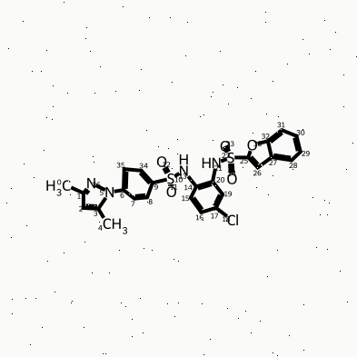 Cc1cc(C)n(-c2ccc(S(=O)(=O)Nc3ccc(Cl)cc3NS(=O)(=O)c3cc4ccccc4o3)cc2)n1